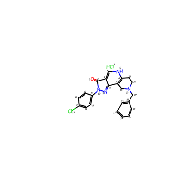 Cl.O=c1c2c[nH]c3c(c-2nn1-c1ccc(Cl)cc1)CN(Cc1ccccc1)CC3